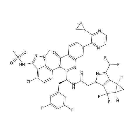 Cn1nc(NS(C)(=O)=O)c2c(Cl)ccc(-n3c([C@H](Cc4cc(F)cc(F)c4)NC(=O)Cn4nc(C(F)F)c5c4C(F)(F)[C@@H]4C[C@H]54)nc4cc(-c5nccnc5C5CC5)ccc4c3=O)c21